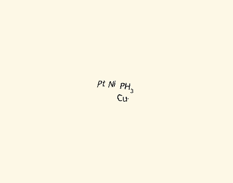 P.[Cu].[Ni].[Pt]